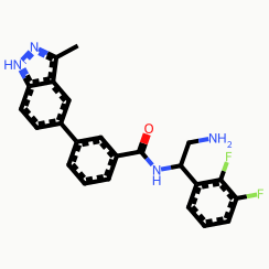 Cc1n[nH]c2ccc(-c3cccc(C(=O)NC(CN)c4cccc(F)c4F)c3)cc12